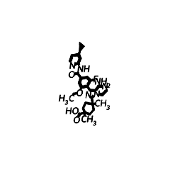 CCOc1cc(C(=O)Nc2cc(C3CC3)ccn2)cc(F)c1-c1nc(C2(C)CCC(C)(C(=O)O)CC2)n2ccnc(N)c12